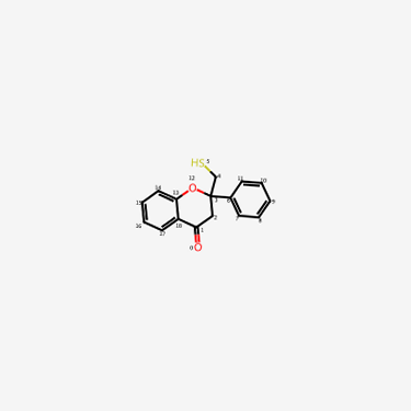 O=C1CC(CS)(c2ccccc2)Oc2ccccc21